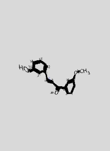 COc1cccc(C(=O)/C=C/c2cccc(O)c2)c1